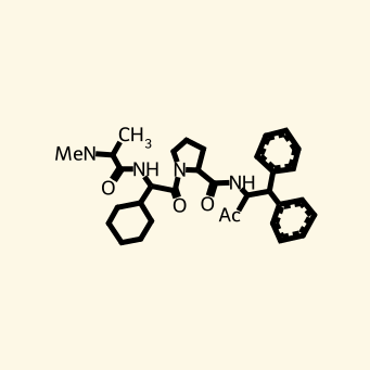 CNC(C)C(=O)NC(C(=O)N1CCCC1C(=O)NC(C(C)=O)C(c1ccccc1)c1ccccc1)C1CCCCC1